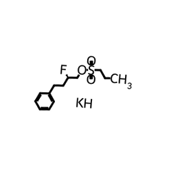 CCCS(=O)(=O)OC[C@H](F)CCc1ccccc1.[KH]